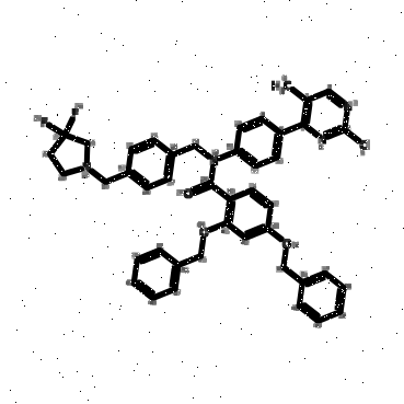 Cc1cnc(Cl)nc1-c1ccc(N(Cc2ccc(CN3CCC(F)(F)C3)cc2)C(=O)c2ccc(OCc3ccccc3)cc2OCc2ccccc2)cc1